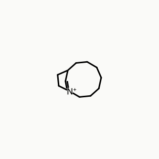 C1=[N+]2CCCCCCCC1CC2